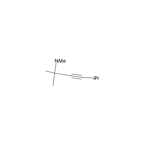 CNC(C)(C)C#CC(C)C